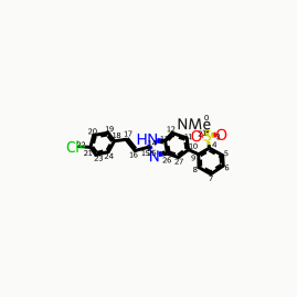 CNS(=O)(=O)c1ccccc1-c1ccc2[nH]c(/C=C/c3ccc(Cl)cc3)nc2c1